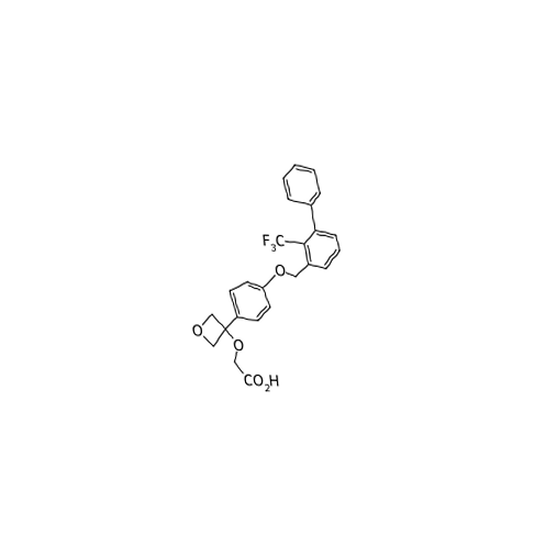 O=C(O)COC1(c2ccc(OCc3cccc(-c4ccccc4)c3C(F)(F)F)cc2)COC1